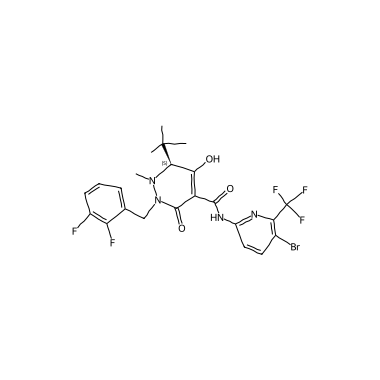 CN1[C@@H](C(C)(C)C)C(O)=C(C(=O)Nc2ccc(Br)c(C(F)(F)F)n2)C(=O)N1Cc1cccc(F)c1F